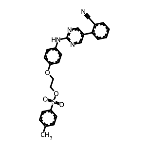 Cc1ccc(S(=O)(=O)OCCOc2ccc(Nc3ncc(-c4ccccc4C#N)cn3)cc2)cc1